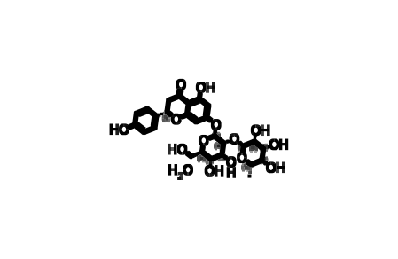 C[C@@H]1O[C@@H](O[C@H]2[C@H](Oc3cc(O)c4c(c3)O[C@H](c3ccc(O)cc3)CC4=O)O[C@H](CO)[C@@H](O)[C@@H]2O)[C@H](O)[C@H](O)[C@H]1O.O